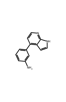 Nc1cccc(-c2ccnc3[nH]ccc23)c1